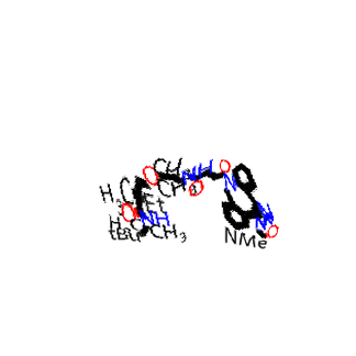 CCC(C)(CCOC(C)(C)CCNC(=O)CCC(=O)N1Cc2ccccc2-c2c(nnn2CC(=O)NC)-c2ccccc21)C(=O)NC(C)(C)CC(C)(C)C